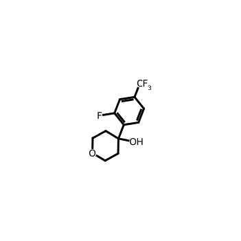 OC1(c2ccc(C(F)(F)F)cc2F)CCOCC1